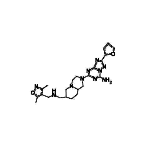 Cc1noc(C)c1CNCC1CCC2CN(c3nc(N)n4nc(-c5ccco5)nc4n3)CCN2C1